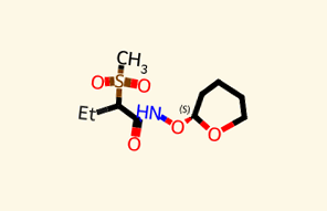 CCC(C(=O)NO[C@H]1CCCCO1)S(C)(=O)=O